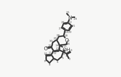 C=C(C)C1(O)CCC2CCC=C2C2=C1C1(C)COC(c3ccc(N(C)C)cc3)CC1CC2=O